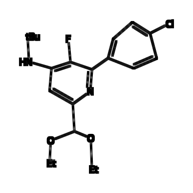 CCOC(OCC)c1cc(NC(C)(C)C)c(F)c(-c2ccc(Cl)cc2)n1